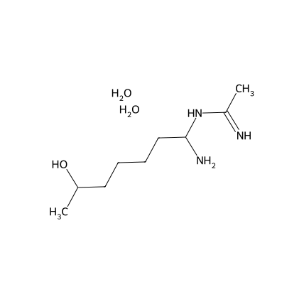 CC(=N)NC(N)CCCCC(C)O.O.O